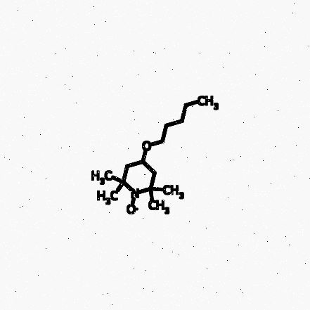 CCCCCOC1CC(C)(C)N([O])C(C)(C)C1